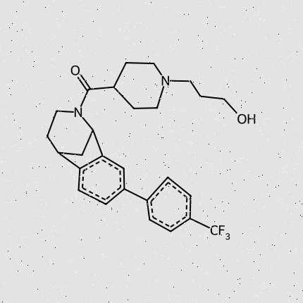 O=C(C1CCN(CCCO)CC1)N1CCC2CC1c1cc(-c3ccc(C(F)(F)F)cc3)ccc12